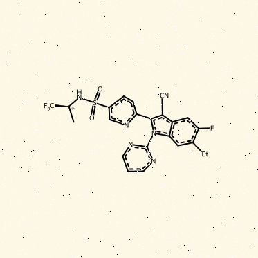 CCc1cc2c(cc1F)c(C#N)c(-c1ccc(S(=O)(=O)N[C@@H](C)C(F)(F)F)cn1)n2-c1ncccn1